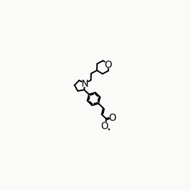 COC(=O)C=Cc1ccc(C2CCCN2CCC2CCOCC2)cc1